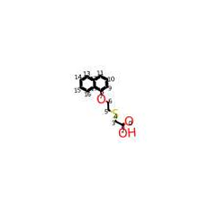 O=C(O)CSCCOc1cccc2ccccc12